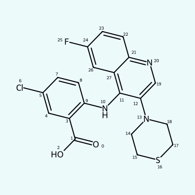 O=C(O)c1cc(Cl)ccc1Nc1c(N2CCSCC2)cnc2ccc(F)cc12